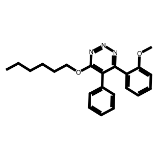 CCCCCCOc1nnnc(-c2ccccc2OC)c1-c1ccccc1